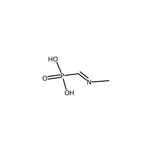 CN=CP(=O)(O)O